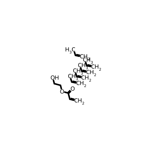 C=CC.C=CC.C=CC.C=CC.C=CC.C=CC(=O)OCCO